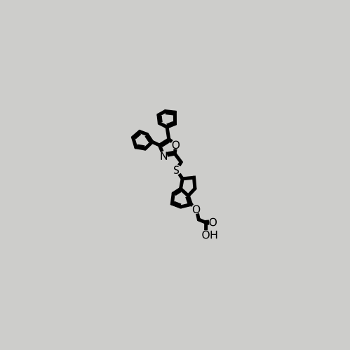 O=C(O)COc1cccc2c1CCC2SCc1nc(-c2ccccc2)c(-c2ccccc2)o1